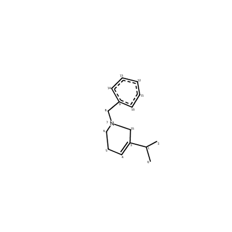 CC(C)C1=CCCN(Cc2ccccc2)C1